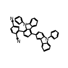 N#Cc1ccc(C#N)c(-c2ccc(-c3ccc4c(c3)c3ccccc3n4-c3ccccc3)c3c4ccccc4n(-c4ccccc4)c23)c1